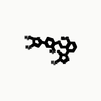 COc1cccc(-n2nnn(C)c2=O)c1COc1ccc(-c2cc(C)n(C)n2)cc1C